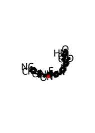 CC1(C)[C@H](NC(=O)c2cnc(N3CCC(CN4CCN(c5ccc6c(c5)C(=O)N(C5CCC(=O)NC5=O)C6=O)CC4)CC3)c(F)c2)C(C)(C)[C@H]1Oc1ccc(C#N)c(Cl)c1